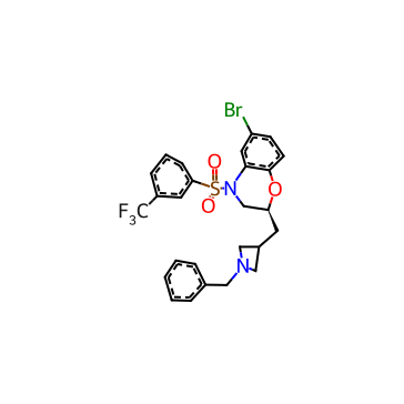 O=S(=O)(c1cccc(C(F)(F)F)c1)N1C[C@H](CC2CN(Cc3ccccc3)C2)Oc2ccc(Br)cc21